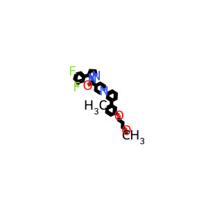 COCCCOc1ccc(C)c(-c2cccc(N3CCC(C(=O)N4N=CCC4c4cc(F)cc(F)c4)CC3)c2)c1